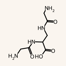 NCC(=O)NCC(NC(=O)CN)C(=O)O